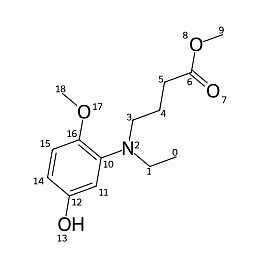 CCN(CCCC(=O)OC)c1cc(O)ccc1OC